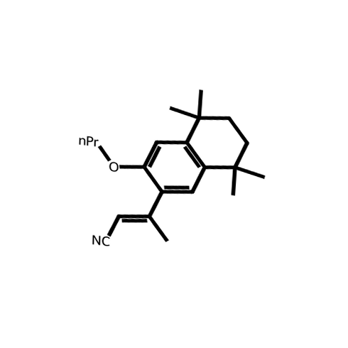 CCCOc1cc2c(cc1C(C)=CC#N)C(C)(C)CCC2(C)C